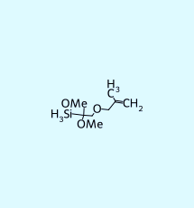 C=C(C)COCC([SiH3])(OC)OC